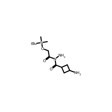 CC(C)(C)[Si](C)(C)OCC(=O)N(N)C(=O)C1CC(N)C1